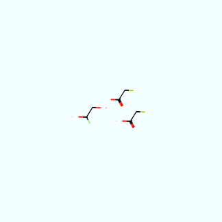 O=C(O)CS.O=C(O)CS.OCC(O)F